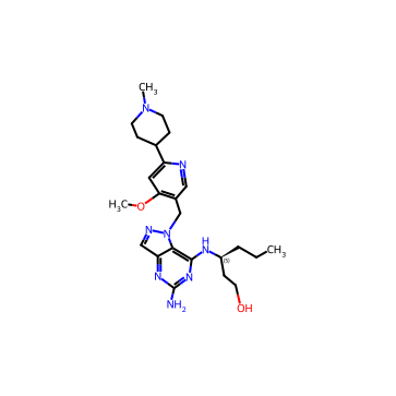 CCC[C@@H](CCO)Nc1nc(N)nc2cnn(Cc3cnc(C4CCN(C)CC4)cc3OC)c12